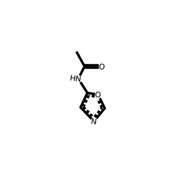 CC(=O)Nc1cnco1